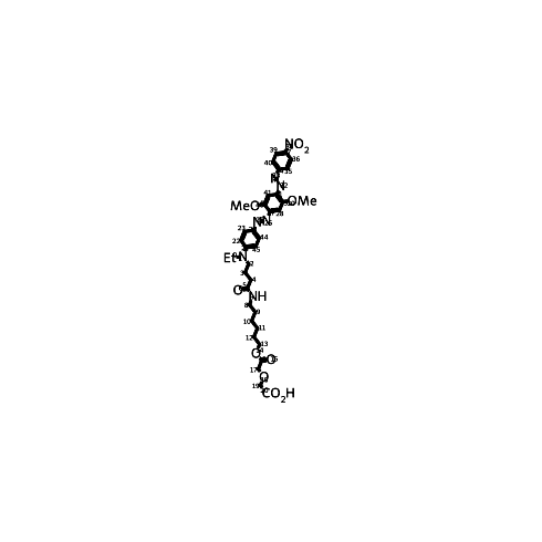 CCN(CCCC(=O)NCCCCCCOC(=O)COCC(=O)O)c1ccc(N=Nc2cc(OC)c(N=Nc3ccc([N+](=O)[O-])cc3)cc2OC)cc1